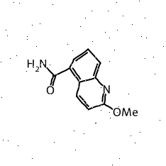 COc1ccc2c(C(N)=O)cccc2n1